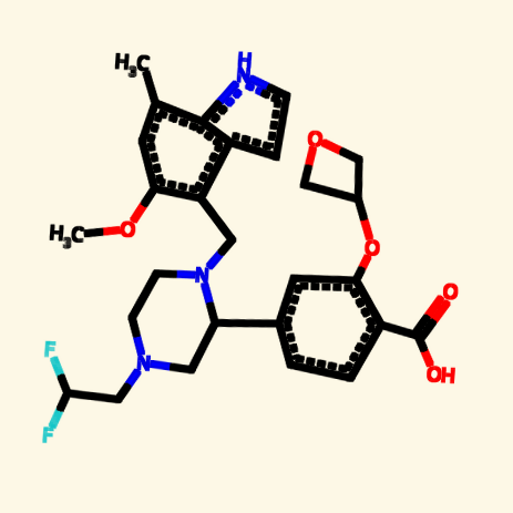 COc1cc(C)c2[nH]ccc2c1CN1CCN(CC(F)F)CC1c1ccc(C(=O)O)c(OC2COC2)c1